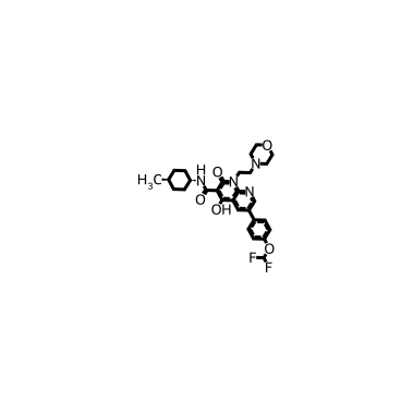 C[C@H]1CC[C@H](NC(=O)c2c(O)c3cc(-c4ccc(OC(F)F)cc4)cnc3n(CCN3CCOCC3)c2=O)CC1